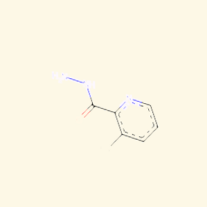 NNC(=O)c1ncccc1S(=O)(=O)O